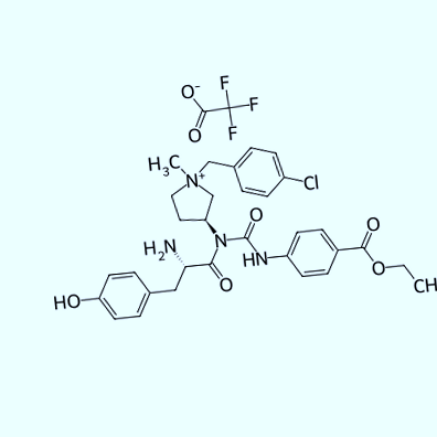 CCOC(=O)c1ccc(NC(=O)N(C(=O)[C@@H](N)Cc2ccc(O)cc2)[C@H]2CC[N+](C)(Cc3ccc(Cl)cc3)C2)cc1.O=C([O-])C(F)(F)F